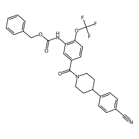 N#Cc1ccc(C2CCN(C(=O)c3ccc(OC(F)(F)F)c(NC(=O)OCc4ccccc4)c3)CC2)cc1